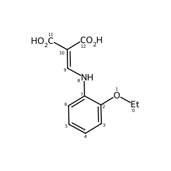 CCOc1ccccc1NC=C(C(=O)O)C(=O)O